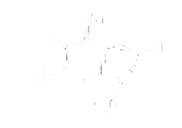 CCC(C)OC(=O)C(Oc1ccc(Cl)cc1[N+](=O)[O-])C(=O)O